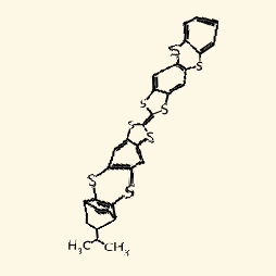 CC(C)C1CC2C=CC1C1=C2Sc2cc3c(cc2S1)SC(=C1Sc2cc4c(cc2S1)Sc1ccccc1S4)S3